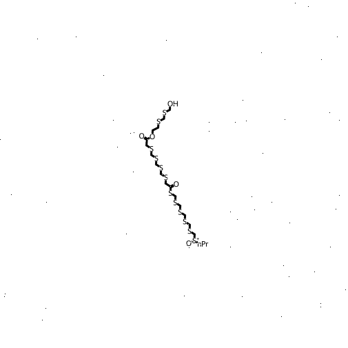 CCC[S+]([O-])CSCSCSCSCSC(=O)CSCSCSCSCC(=O)OCCSCSCO